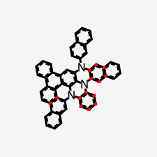 c1ccc(N(c2ccc3ccccc3c2)c2cc3c4ccccc4c4ccccc4c3c(N(c3ccccc3)c3ccc4ccccc4c3)c2N(c2ccccc2)c2ccc3ccccc3c2)cc1